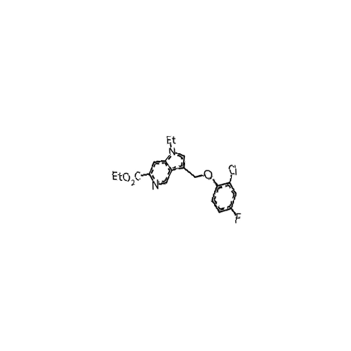 CCOC(=O)c1cc2c(cn1)c(COc1ccc(F)cc1Cl)cn2CC